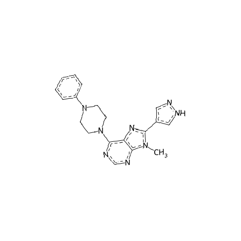 Cn1c(-c2cn[nH]c2)nc2c(N3CCN(c4ccccc4)CC3)ncnc21